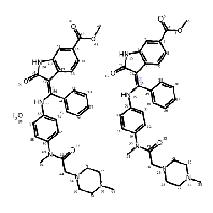 COC(=O)c1ccc2c(c1)NC(=O)/C2=C(\Nc1ccc(N(C)C(=O)CN2CCN(C)CC2)cc1)c1ccccc1.COC(=O)c1ccc2c(c1)NC(=O)/C2=C(\Nc1ccc(N(C)C(=O)CN2CCN(C)CC2)cc1)c1ccccc1.O